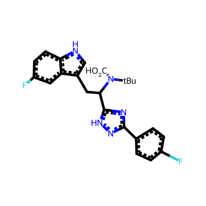 CC(C)(C)N(C(=O)O)C(Cc1c[nH]c2ccc(F)cc12)c1nc(-c2ccc(F)cc2)n[nH]1